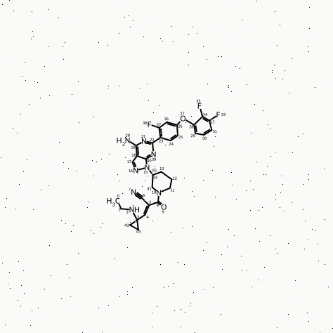 CCNC1(C=C(C#N)C(=O)N2CCC[C@H](n3ncc4c(N)nc(-c5ccc(Oc6cccc(F)c6F)cc5F)nc43)C2)CC1